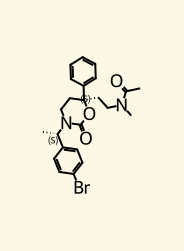 CC(=O)N(C)CC[C@@]1(c2ccccc2)CCN([C@@H](C)c2ccc(Br)cc2)C(=O)O1